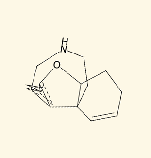 C1=CC23CCNCc4cccc(c42)OC3CC1